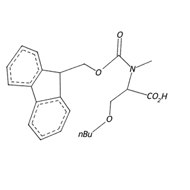 CCCCOCC(C(=O)O)N(C)C(=O)OCC1c2ccccc2-c2ccccc21